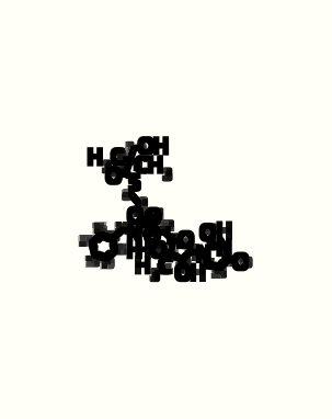 CC(C)(CO)C(=O)SCCOP(=O)(NCc1ccccc1)OC[C@H]1OC(n2ccc(=O)[nH]c2=O)C(O)C1(C)O